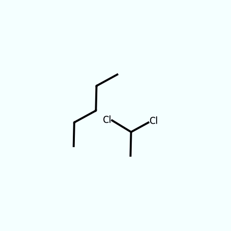 CC(Cl)Cl.CCCCC